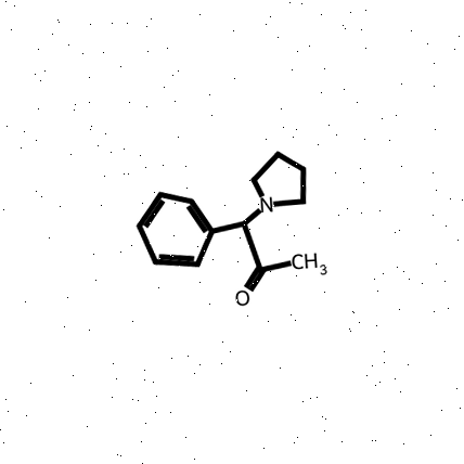 CC(=O)C(c1ccccc1)N1CCCC1